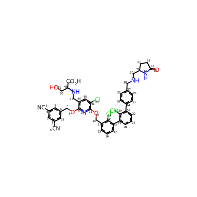 N#Cc1cc(C#N)cc(COc2nc(OCc3cccc(-c4cccc(-c5ccc(CNCC6CCC(=O)N6)cc5)c4Cl)c3Cl)c(Cl)cc2CNC(CO)C(=O)O)c1